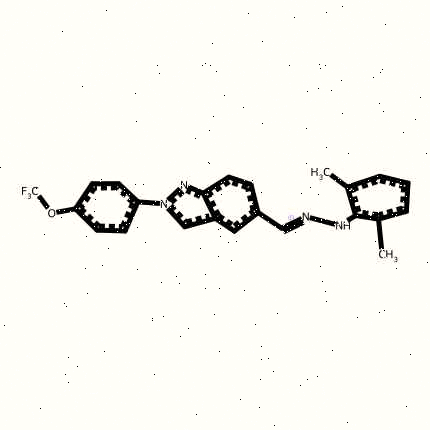 Cc1cccc(C)c1N/N=C/c1ccc2nn(-c3ccc(OC(F)(F)F)cc3)cc2c1